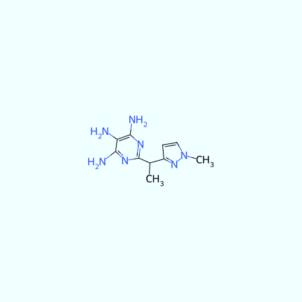 CC(c1ccn(C)n1)c1nc(N)c(N)c(N)n1